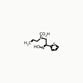 C=CCN(CC(=NO)c1cccs1)C(=O)O